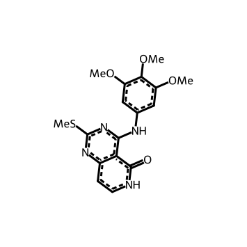 COc1cc(Nc2nc(SC)nc3cc[nH]c(=O)c23)cc(OC)c1OC